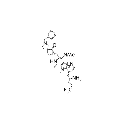 C=C(N/C(=C/NC)CN1CCC2(CCN(Cc3ccccc3)C2)C1=O)C1=CCC(C(/C=C\N)=C/C(N)CCC(F)(F)F)N1C